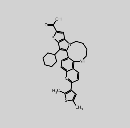 Cc1cc(-c2ccc3c4c(ccc3n2)-c2c(C3CCCCC3)c3sc(C(=O)O)cc3n2CCCCN4)c(C)s1